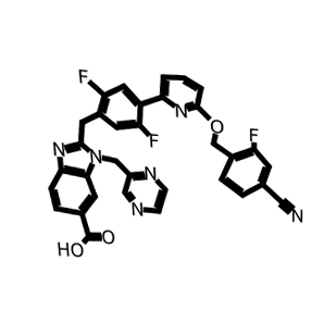 N#Cc1ccc(COc2cccc(-c3cc(F)c(Cc4nc5ccc(C(=O)O)cc5n4Cc4cnccn4)cc3F)n2)c(F)c1